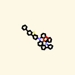 c1ccc(-c2ccc3c(c2)sc2cc(N(c4ccccc4-c4ccccc4-n4c5ccccc5c5ccccc54)c4cccc5c4sc4ccccc45)ccc23)cc1